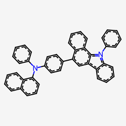 c1ccc(N(c2ccc(-c3cc4c5ccccc5n(-c5ccccc5)c4c4ccccc34)cc2)c2cccc3ccccc23)cc1